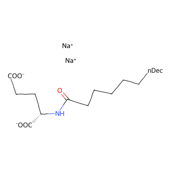 CCCCCCCCCCCCCCCC(=O)N[C@@H](CCC(=O)[O-])C(=O)[O-].[Na+].[Na+]